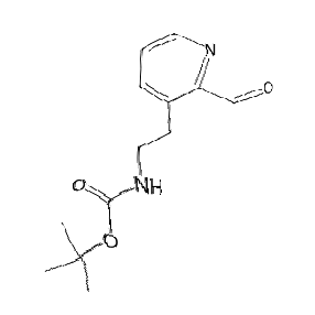 CC(C)(C)OC(=O)NCCc1cccnc1C=O